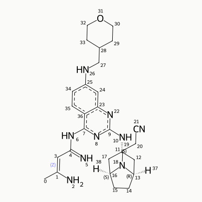 C/C(N)=C/C(=N)Nc1nc(N[C@@H]2C[C@H]3CC[C@@H](C2)N3CCC#N)nc2cc(NCC3CCOCC3)ccc12